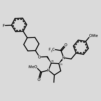 COC(=O)N1C(C)C[C@H](N(Cc2ccc(OC)cc2)C(=O)C(F)(F)F)[C@@H]1COC1CCC(c2cccc(F)c2)CC1